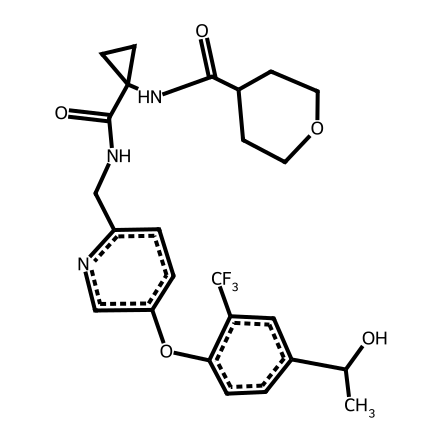 CC(O)c1ccc(Oc2ccc(CNC(=O)C3(NC(=O)C4CCOCC4)CC3)nc2)c(C(F)(F)F)c1